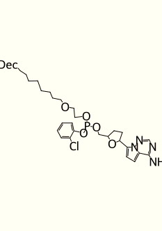 CCCCCCCCCCCCCCCCCCOCCOP(OCC1CCC(c2ccc3c(N)ncnn23)O1)Oc1ccccc1Cl